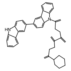 C=C(CCC(=C)C1CCCCC1)C(=C)CCC(=C)n1c2ccccc2c2cc(-c3ccc4[nH]c5ccccc5c4c3)ccc21